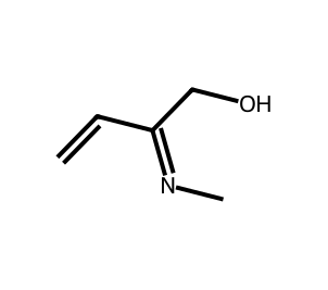 C=CC(CO)=NC